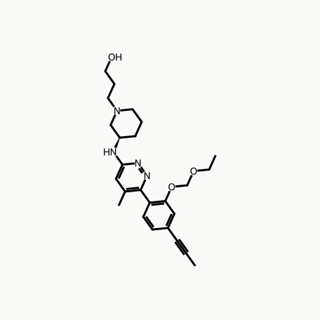 CC#Cc1ccc(-c2nnc(N[C@@H]3CCCN(CCCO)C3)cc2C)c(OCOCC)c1